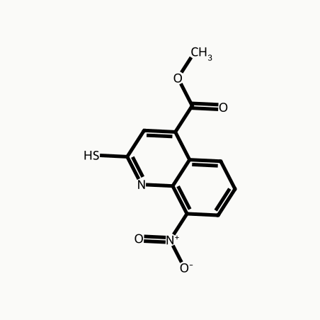 COC(=O)c1cc(S)nc2c([N+](=O)[O-])cccc12